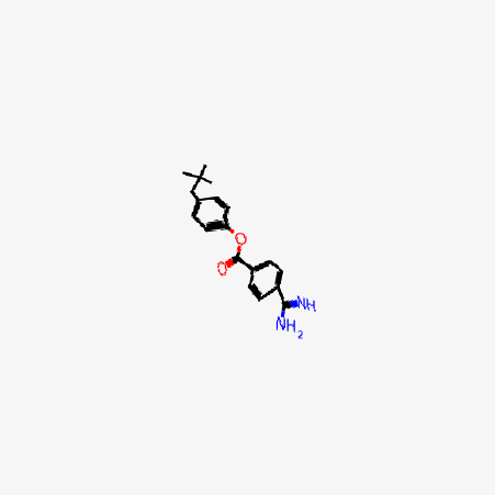 CC(C)(C)Cc1ccc(OC(=O)c2ccc(C(=N)N)cc2)cc1